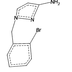 Nc1ccn(Cc2ccccc2Br)n1